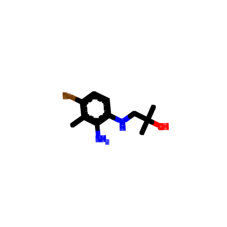 Cc1c(Br)ccc(NCC(C)(C)O)c1N